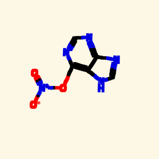 O=[N+]([O-])Oc1ncnc2nc[nH]c12